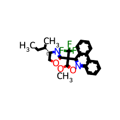 CCC(C)[C@H]1COC(C(C(=O)OC)(c2nc3ccccc3c3ccccc23)C(F)(F)F)=N1